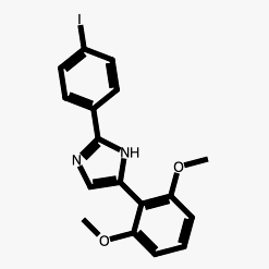 COc1cccc(OC)c1-c1cnc(-c2ccc(I)cc2)[nH]1